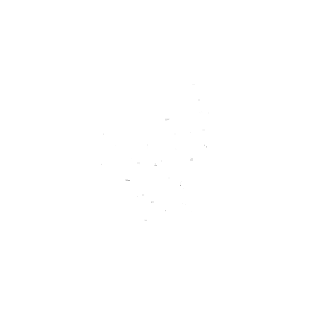 CS(=O)(=O)CCCn1c(CN2C(=O)C(F)(F)c3ccccc32)nc2cc(Cl)ccc21